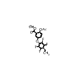 C=Cc1c(F)c(F)c(Oc2ccc(OC(C)=O)c(C(=O)OC(C)(C)C)c2)c(F)c1F